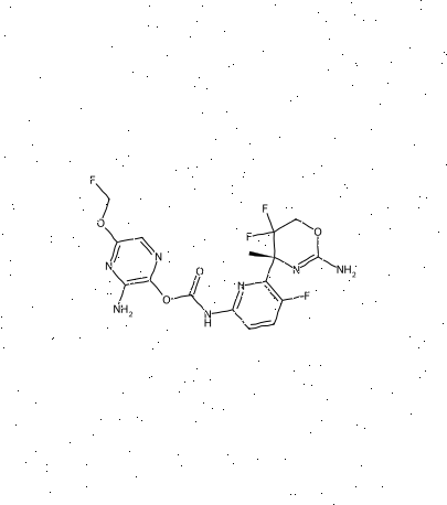 C[C@]1(c2nc(NC(=O)Oc3ncc(OCF)nc3N)ccc2F)N=C(N)OCC1(F)F